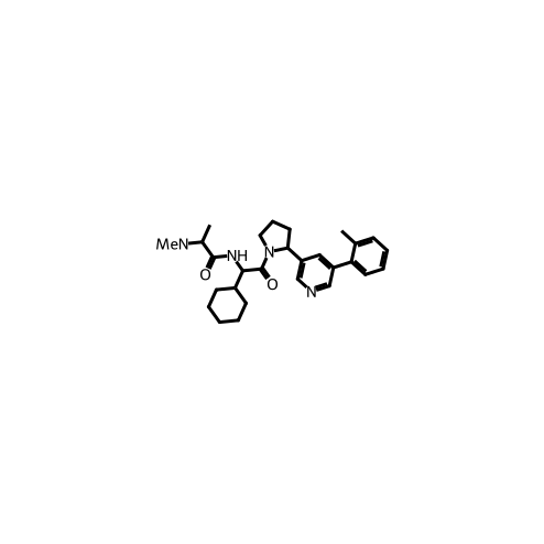 CNC(C)C(=O)NC(C(=O)N1CCCC1c1cncc(-c2ccccc2C)c1)C1CCCCC1